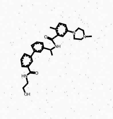 Cc1ccc(N2CCN(C)CC2)cc1C(=O)NC(C)c1cccc(-c2cccc(C(=O)NCCO)c2)c1